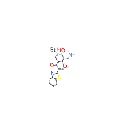 CCc1cc2c(=O)c(-c3nc4ccccc4s3)coc2c(CN(C)C)c1O